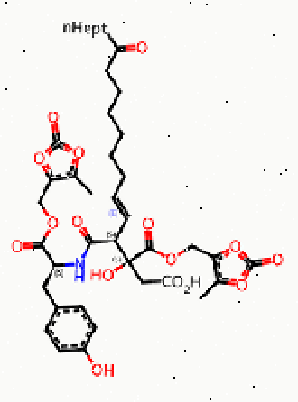 CCCCCCCC(=O)CCCCCC/C=C/[C@H](C(=O)N[C@@H](Cc1ccc(O)cc1)C(=O)OCc1oc(=O)oc1C)[C@@](O)(CC(=O)O)C(=O)OCc1oc(=O)oc1C